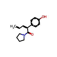 C=CC=C(C(=O)N1CCCC1)c1ccc(O)cc1